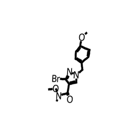 COc1ccc(Cn2cc(C(=O)N(C)OC)c(Br)n2)cc1